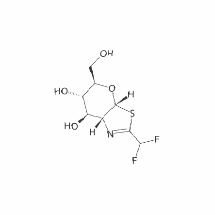 OC[C@H]1O[C@@H]2SC(C(F)F)=N[C@@H]2[C@@H](O)[C@@H]1O